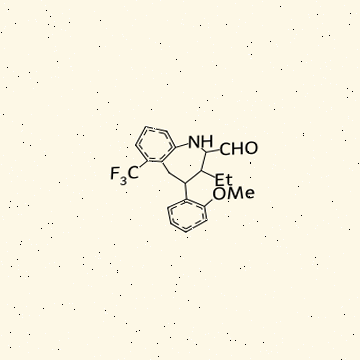 CCC1C(C=O)Nc2cccc(C(F)(F)F)c2CC1c1ccccc1OC